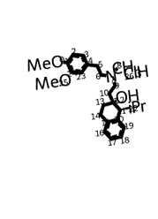 COc1ccc(CCN(C)CC[C@@]2(O)CCc3ccccc3[C@@H]2C(C)C)cc1OC.Cl